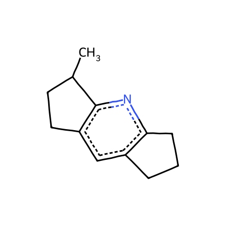 CC1CCc2cc3c(nc21)CCC3